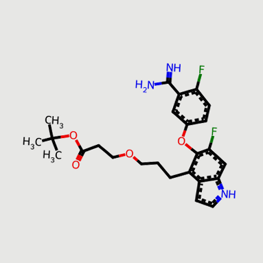 CC(C)(C)OC(=O)CCOCCCc1c(Oc2ccc(F)c(C(=N)N)c2)c(F)cc2[nH]ccc12